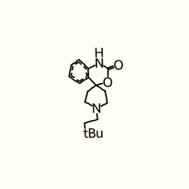 CC(C)(C)CCN1CCC2(CC1)OC(=O)Nc1ccccc12